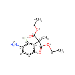 CCOC(=O)C(C)(C(=O)OCC)c1cccc(N)c1F